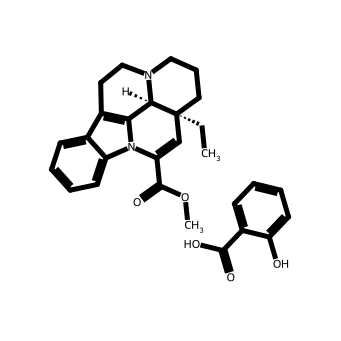 CC[C@@]12C=C(C(=O)OC)n3c4c(c5ccccc53)CCN(CCC1)[C@H]42.O=C(O)c1ccccc1O